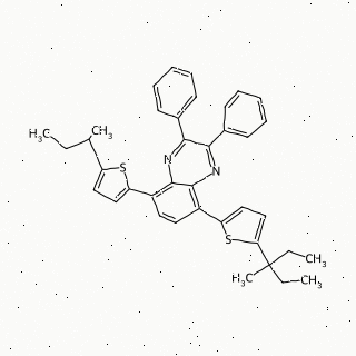 CCC(C)c1ccc(-c2ccc(-c3ccc(C(C)(CC)CC)s3)c3nc(-c4ccccc4)c(-c4ccccc4)nc23)s1